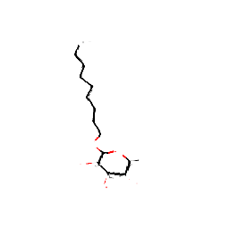 CCCCCCCCCCCCCCCCCCOC1O[C@@H](C)[C@H](O)[C@@H](O)[C@H]1O